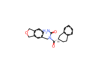 NC(=O)N(Cc1ccc2c(c1)COC2)C(=O)[C@H]1CCc2ccccc2C1